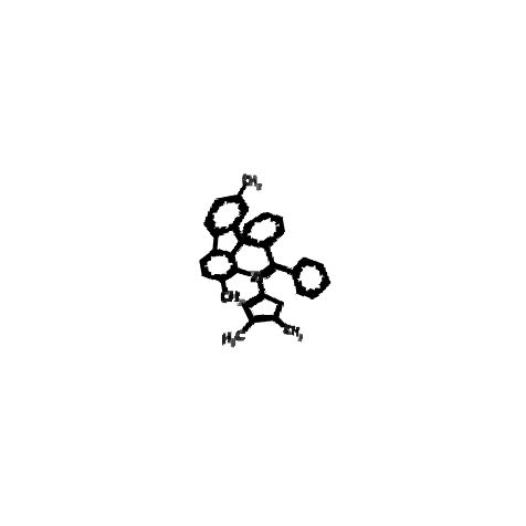 CC1=C(C)C[C]([Zr](=[C](c2ccccc2)c2ccccc2)[c]2c(C)ccc3c2Cc2cc(C)ccc2-3)=C1